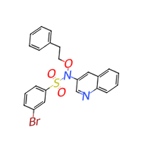 O=S(=O)(c1cccc(Br)c1)N(OCCc1ccccc1)c1cnc2ccccc2c1